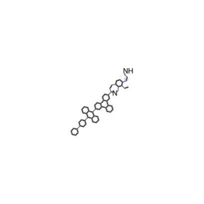 C=Cc1c(/C=C\C=N)ccc2c1CN=C(c1ccc3c4ccc(-c5c6ccccc6c(-c6ccc(-c7ccccc7)cc6)c6ccccc56)cc4c4ccccc4c3c1)C=C2